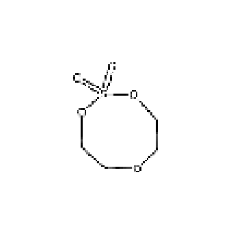 O=S1(=O)OCCOCCO1